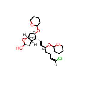 CC(Cl)=CCC[C@@H](C=C[C@@H]1[C@H]2CC(O)O[C@H]2C[C@H]1OC1CCCCO1)OC1CCCCO1